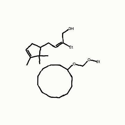 CCC(=CCC1CC=C(C)C1(C)C)CO.CCOCOC1CCCCCCCCCCC1